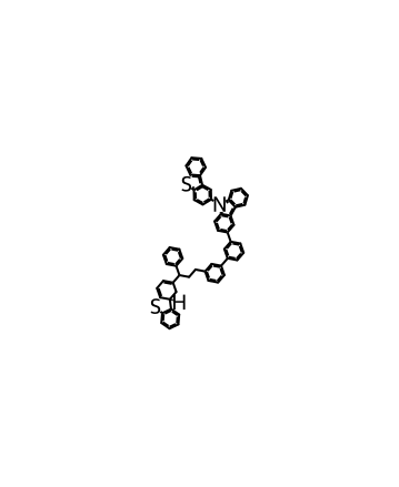 C1=C(C(CCc2cccc(-c3cccc(-c4ccc5c(c4)c4ccccc4n5-c4ccc5sc6ccccc6c5c4)c3)c2)c2ccccc2)C[C@H]2C(=C1)Sc1ccccc12